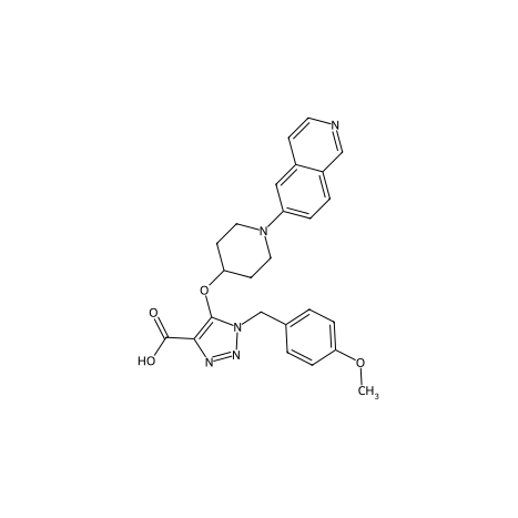 COc1ccc(Cn2nnc(C(=O)O)c2OC2CCN(c3ccc4cnccc4c3)CC2)cc1